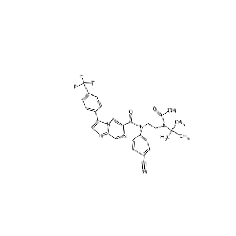 CC(C)(C)N(CCN(C(=O)c1cn2c(-c3ccc(C(F)(F)F)cc3)cnc2cn1)c1ccc(C#N)cc1)C(=O)O